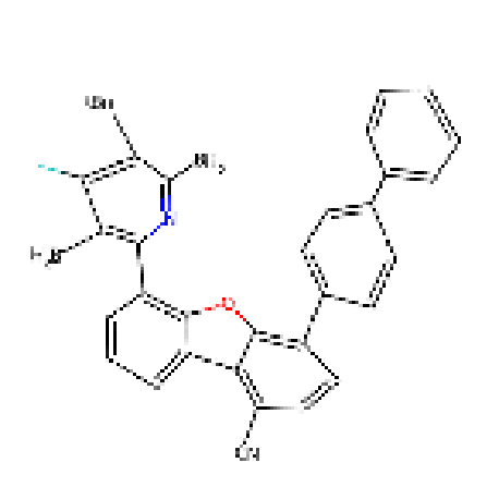 Bc1nc(-c2cccc3c2oc2c(-c4ccc(-c5ccccc5)cc4)ccc(C#N)c23)c(B)c(F)c1C(C)(C)C